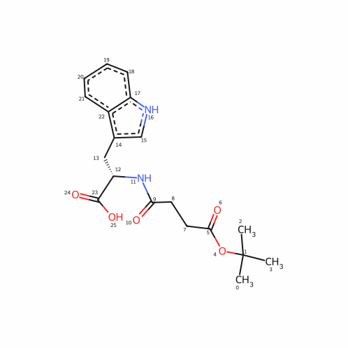 CC(C)(C)OC(=O)CCC(=O)N[C@@H](Cc1c[nH]c2ccccc12)C(=O)O